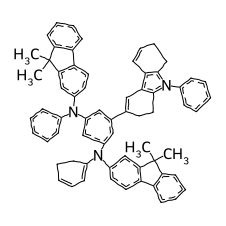 CC1(C)c2ccccc2-c2ccc(N(C3=CC=CCC3)c3cc(C4=Cc5c6c(n(-c7ccccc7)c5CC4)CCC=C6)cc(N(c4ccccc4)c4ccc5c(c4)C(C)(C)c4ccccc4-5)c3)cc21